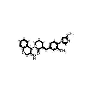 Cc1cn(-c2ccc(/C=C3\CCCN([C@@H]4c5ccccc5OC[C@@H]4O)C3=O)cc2C)cn1